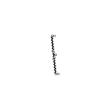 O=C(COOCCCCCCCCCCO)COOCCCCCCCCCCO